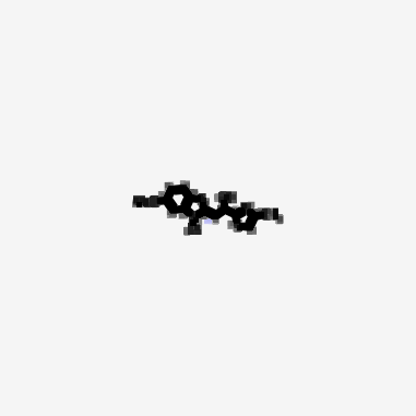 CCN1/C(=C/C(O)c2nc(C)cs2)Sc2ccc(OC)cc21